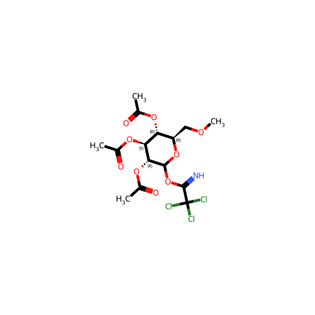 COC[C@H]1OC(OC(=N)C(Cl)(Cl)Cl)[C@H](OC(C)=O)[C@@H](OC(C)=O)[C@@H]1OC(C)=O